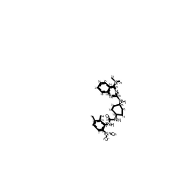 Cc1ccc([N+](=O)[O-])c(NC(=O)NC2CCC(Nc3nc(N(C)C)c4ccccc4n3)CC2)c1C